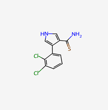 NC(=S)c1c[nH]cc1-c1cccc(Cl)c1Cl